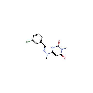 CN(N=Cc1cccc(Cl)c1)c1cc(=O)n(C)c(=O)[nH]1